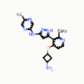 COc1nccc(O[C@H]2C[C@H](N)C2)c1-c1cc(Nc2cnc(C#N)cn2)n[nH]1